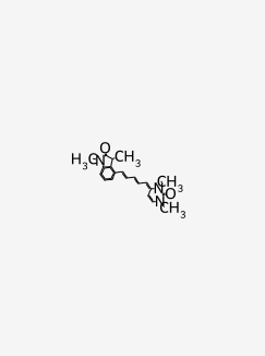 CC1C(=O)N(C)c2cccc(C=CC=CC=C3C=CN(C)C(=O)N3C)c21